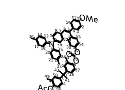 COc1ccc(C(=Cc2ccc(N(c3ccc(C)cc3)c3ccc(C)cc3)cc2)c2ccc(OC(=O)Oc3ccc(C(C)(C)c4ccc(OC(C)=O)c(C)c4)cc3C)cc2)cc1